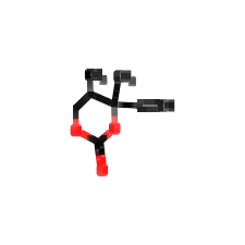 C#CC1(C)OC(=O)OCC1C